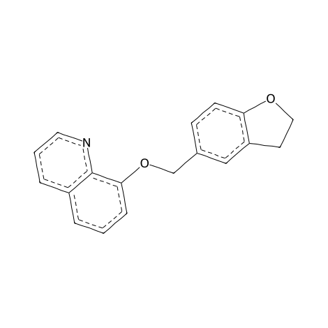 c1cnc2c(OCc3ccc4c(c3)CCO4)cccc2c1